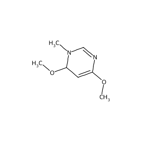 COC1=CC(OC)N(C)C=N1